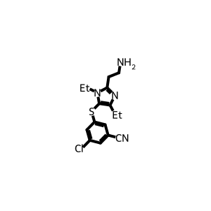 CCc1nc(CCN)n(CC)c1Sc1cc(Cl)cc(C#N)c1